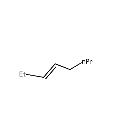 CC[CH]CC=CCC